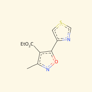 CCOC(=O)c1c(C)noc1-c1cscn1